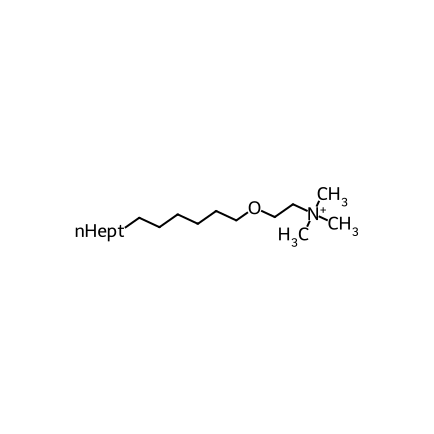 CCCCCCCCCCCCCOCC[N+](C)(C)C